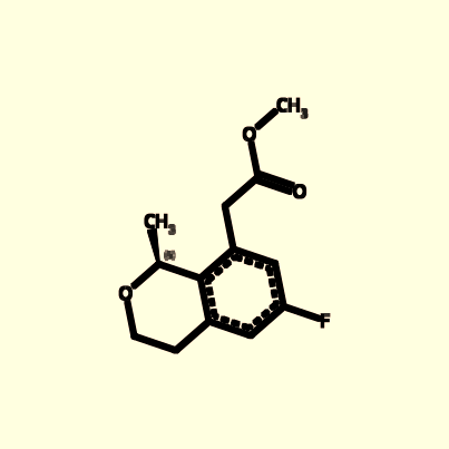 COC(=O)Cc1cc(F)cc2c1[C@H](C)OCC2